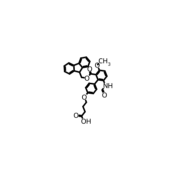 COc1ccc(NC=O)c(-c2ccc(OCCCC(=O)O)cc2)c1C(=O)OCC1c2ccccc2-c2ccccc21